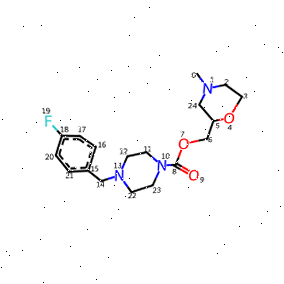 CN1CCOC(COC(=O)N2CCN(Cc3ccc(F)cc3)CC2)C1